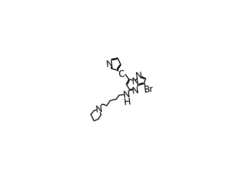 Brc1cnn2c(CCc3cccnc3)cc(NCCCCCN3CCCCC3)nc12